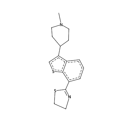 CN1CCC(c2csc3c(C4=NCCS4)cccc23)CC1